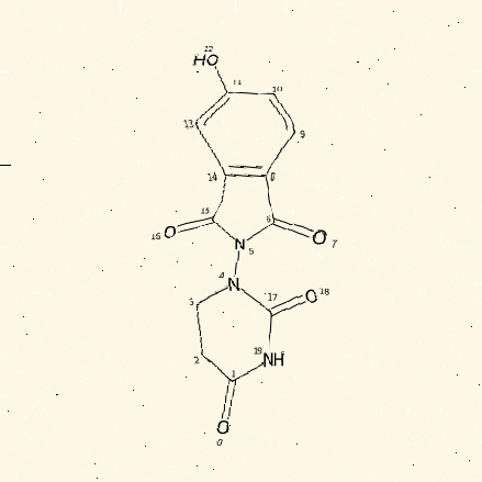 O=C1CCN(N2C(=O)c3ccc(O)cc3C2=O)C(=O)N1